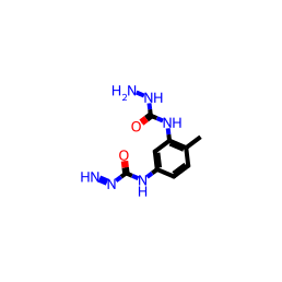 Cc1ccc(NC(=O)N=N)cc1NC(=O)NN